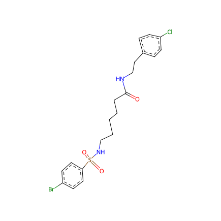 O=C(CCCCCNS(=O)(=O)c1ccc(Br)cc1)NCCc1ccc(Cl)cc1